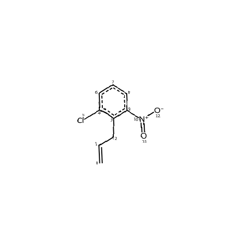 C=C[CH]c1c(Cl)cccc1[N+](=O)[O-]